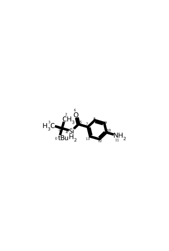 CC(C)(C)C(C)(C)[SiH2]C(=O)c1ccc(N)cc1